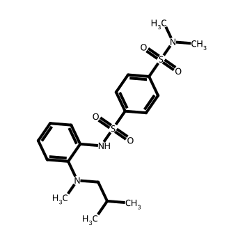 CC(C)CN(C)c1ccccc1NS(=O)(=O)c1ccc(S(=O)(=O)N(C)C)cc1